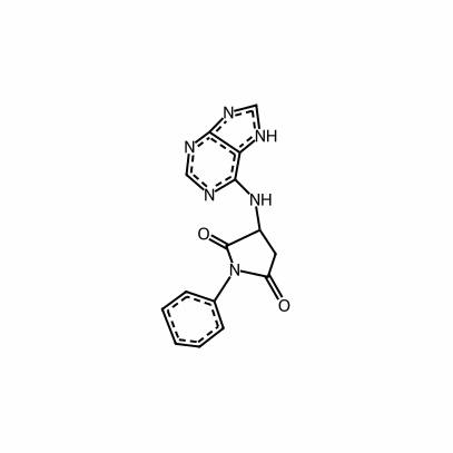 O=C1CC(Nc2ncnc3nc[nH]c23)C(=O)N1c1ccccc1